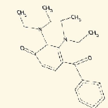 CCN(CC)C1=C(C(=O)c2ccccc2)C=CC(=O)C1N(CC)CC